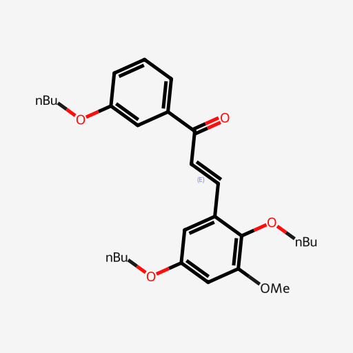 CCCCOc1cccc(C(=O)/C=C/c2cc(OCCCC)cc(OC)c2OCCCC)c1